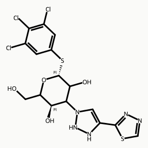 OCC1O[C@H](Sc2cc(Cl)c(Cl)c(Cl)c2)C(O)C(N2C=C(c3nncs3)NN2)[C@H]1O